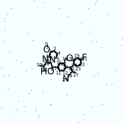 COc1cccn2c(C(O)c3ccc4c(c3)COc3cc(F)ccc3/C4=C(\C)C#N)c(C(C)C)nc12